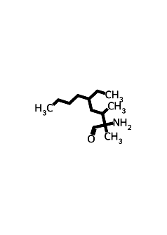 CCCCC(CC)CC(C)C(C)(N)C=O